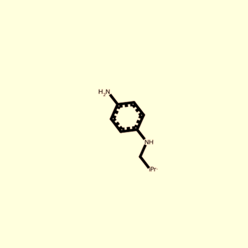 C[C](C)CNc1ccc(N)cc1